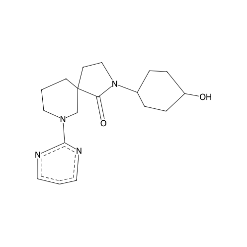 O=C1N(C2CCC(O)CC2)CCC12CCCN(c1ncccn1)C2